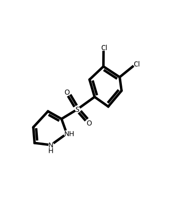 O=S(=O)(C1=CC=CNN1)c1ccc(Cl)c(Cl)c1